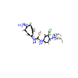 CN(C)c1ccc(NC(=S)Nc2ccc(N)cc2)cc1Cl